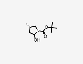 C[C@H]1CC(O)N(C(=O)OC(C)(C)C)C1